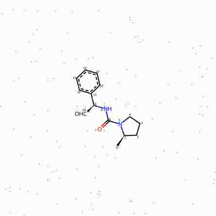 C[C@@H]1CCCN1C(=O)N[C@@H](C=O)c1ccccc1